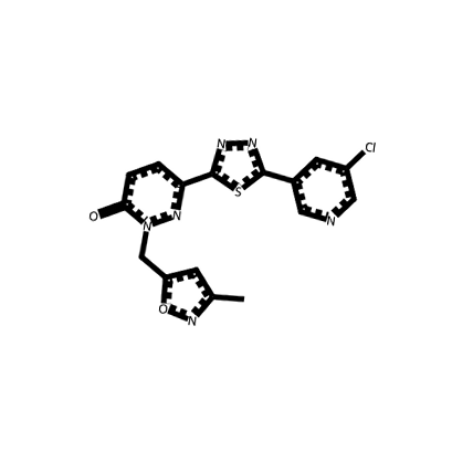 Cc1cc(Cn2nc(-c3nnc(-c4cncc(Cl)c4)s3)ccc2=O)on1